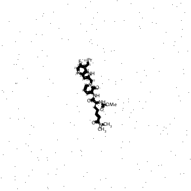 COC(=O)N[C@@H](CC/C=C/C(=O)N(C)C)C(=O)Nc1cccn(Cc2cc3ncc(F)c(CC(C)C)c3[nH]2)c1=O